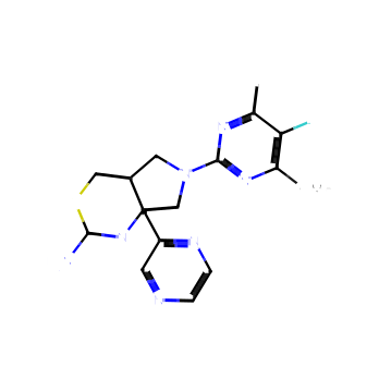 COc1nc(N2CC3CSC(N)NC3(c3cnccn3)C2)nc(C)c1F